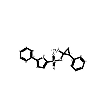 O=C(O)C1(NS(=O)(=O)c2ccc(-c3ccccc3)s2)CC1c1ccccc1